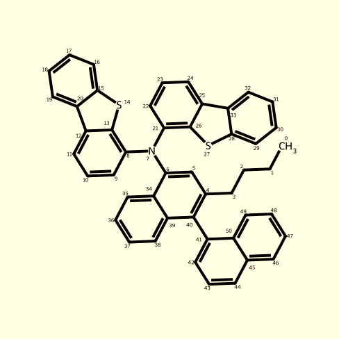 CCCCc1cc(N(c2cccc3c2sc2ccccc23)c2cccc3c2sc2ccccc23)c2ccccc2c1-c1cccc2ccccc12